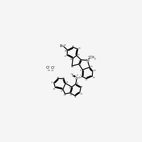 Cn1c2c(c3[c]([Zr+2](=[S])[c]4cccc5c4-c4ccccc4C5)cccc31)Cc1cc(Br)ccc1-2.[Cl-].[Cl-]